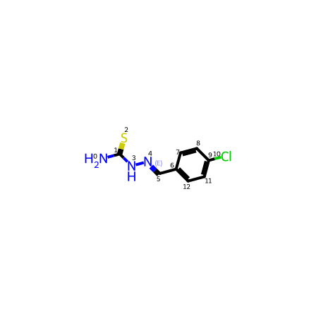 NC(=S)N/N=C/c1ccc(Cl)cc1